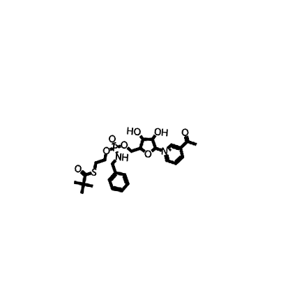 CC(=O)c1ccc[n+](C2OC(COP(=O)(NCc3ccccc3)OCCSC(=O)C(C)(C)C)C(O)C2O)c1